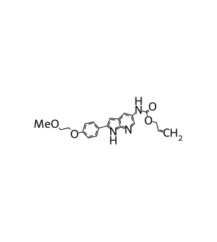 C=CCOC(=O)Nc1cnc2[nH]c(-c3ccc(OCCOC)cc3)cc2c1